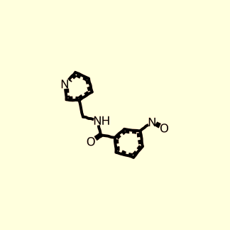 O=Nc1cccc(C(=O)NCc2cccnc2)c1